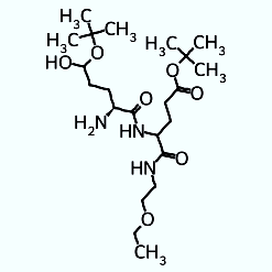 CCOCCNC(=O)C(CCC(=O)OC(C)(C)C)NC(=O)[C@@H](N)CCC(O)OC(C)(C)C